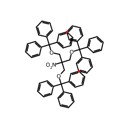 O=[N+]([O-])C(COC(c1ccccc1)(c1ccccc1)c1ccccc1)(COC(c1ccccc1)(c1ccccc1)c1ccccc1)COC(c1ccccc1)(c1ccccc1)c1ccccc1